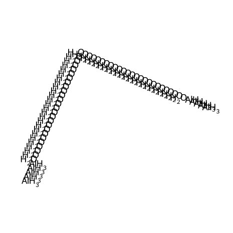 O.O.O.O.O.O.O.O.O.O.O.O.O.O.O.O.O.O.O.O.O.O.O.O.O.O.O.O.O.O.O.O.O.O.O.O.O.O.O.O.O.O.O.O.O.O.O.O.O.O.[AlH3].[AlH3].[AlH3].[AlH3].[AlH3].[AlH3].[AlH3].[AlH3].[AlH3].[AlH3]